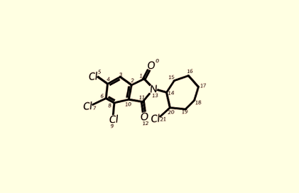 O=C1c2cc(Cl)c(Cl)c(Cl)c2C(=O)N1C1CCCCCC1Cl